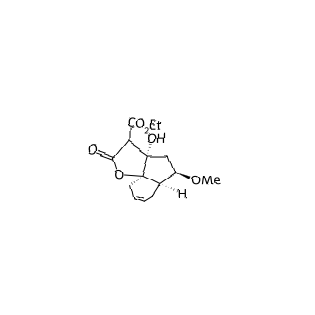 CCOC(=O)C1C(=O)O[C@]23CC=CC[C@@H]2[C@H](OC)C[C@]13O